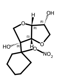 O=[N+]([O-])OC1([C@@]2(O)CO[C@@H]3[C@H](O)CO[C@@H]32)CCCCC1